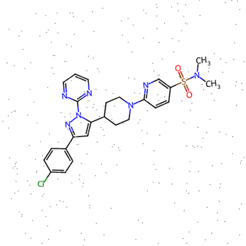 CN(C)S(=O)(=O)c1ccc(N2CCC(c3cc(-c4ccc(Cl)cc4)nn3-c3ncccn3)CC2)nc1